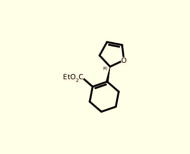 CCOC(=O)C1=C([C@H]2CC=CO2)CCCC1